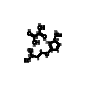 CCN(CC)CCOc1ccn(C(C)(C)C)n1.O=C(O)C(=O)O